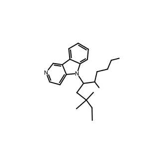 CCCCC(C)C(CC(C)(C)CC)n1c2ccccc2c2cnccc21